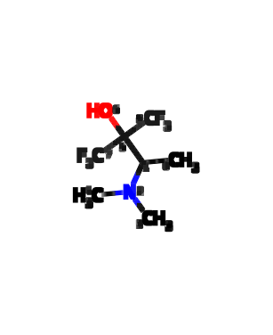 CC(N(C)C)C(O)(C(F)(F)F)C(F)(F)F